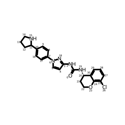 O=C(Nc1ccn(-c2ccc(C3CCCN3)cc2)n1)N[C@H]1CCOc2c(Cl)cccc21